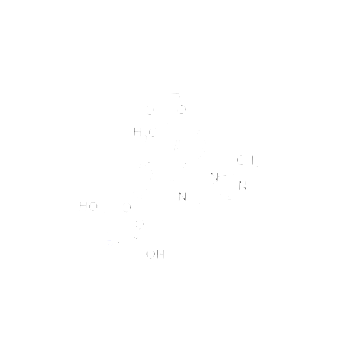 Cc1ncc2n1-c1ccc(C3(C)OCCO3)cc1C(c1ccccc1)=NC2.O=C(O)/C=C\C(=O)O